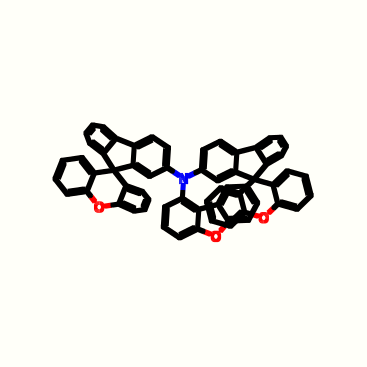 c1ccc2c(c1)Oc1ccccc1C21c2ccccc2-c2ccc(N(c3ccc4c(c3)C3(c5ccccc5Oc5ccccc53)c3ccccc3-4)c3cccc4oc5ccccc5c34)cc21